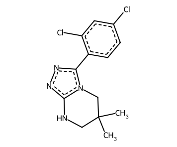 CC1(C)CNc2nnc(-c3ccc(Cl)cc3Cl)n2C1